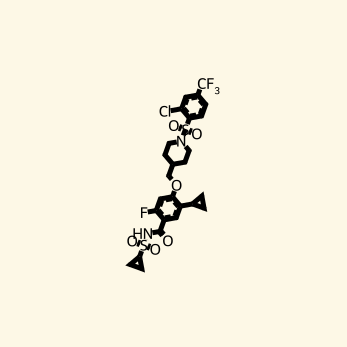 O=C(NS(=O)(=O)C1CC1)c1cc(C2CC2)c(OCC2CCN(S(=O)(=O)c3ccc(C(F)(F)F)cc3Cl)CC2)cc1F